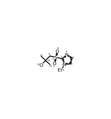 CCn1ccnc1S(=O)(=O)CC(C)(C)[O]